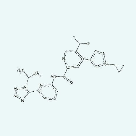 CC(C)n1nnnc1-c1cccc(NC(=O)c2cc(-c3cnn(C4CC4)c3)c(C(F)F)cn2)n1